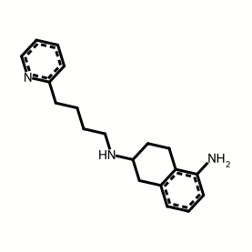 Nc1cccc2c1CCC(NCCCCc1ccccn1)C2